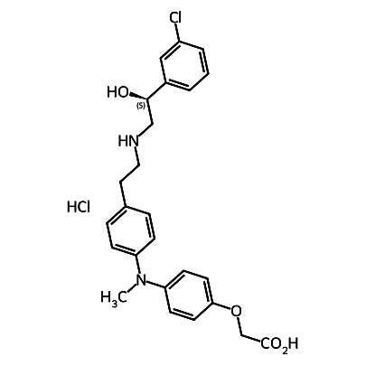 CN(c1ccc(CCNC[C@@H](O)c2cccc(Cl)c2)cc1)c1ccc(OCC(=O)O)cc1.Cl